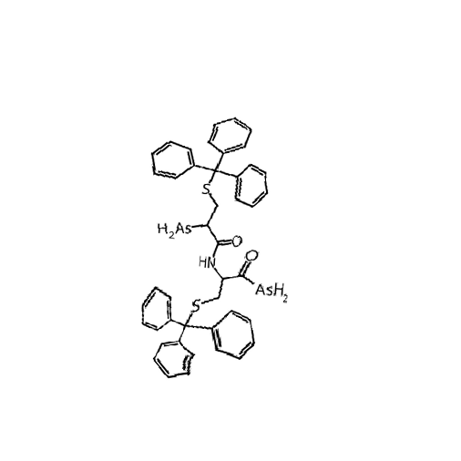 O=C(NC(CSC(c1ccccc1)(c1ccccc1)c1ccccc1)C(=O)[AsH2])C([AsH2])CSC(c1ccccc1)(c1ccccc1)c1ccccc1